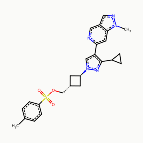 Cc1ccc(S(=O)(=O)OC[C@H]2C[C@H](n3cc(-c4cc5c(cn4)cnn5C)c(C4CC4)n3)C2)cc1